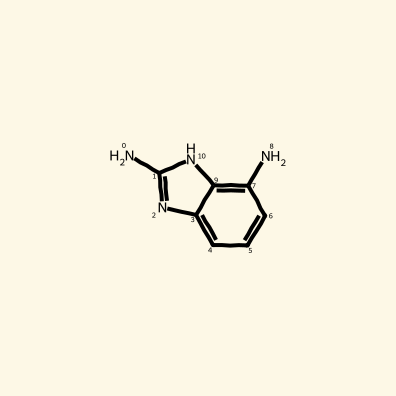 Nc1nc2cccc(N)c2[nH]1